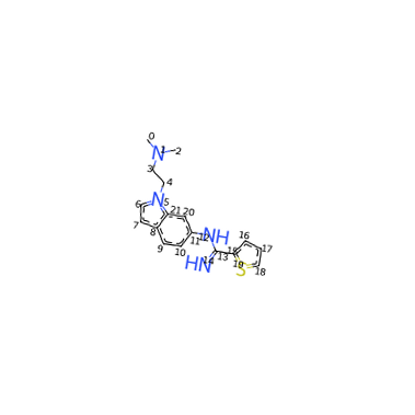 CN(C)CCn1ccc2ccc(NC(=N)c3cccs3)cc21